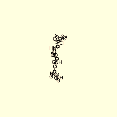 Cn1c(=O)n(C2CCC(=O)NC2=O)c2ccc(C3CCN(C(=O)Nc4cccc(CS(=O)(=O)N5CC[C@@H](Nc6cccc(-c7sc(C(=O)OC(C)(C)C)c(OCC(=O)OC(C)(C)C)c7Cl)c6)CC56CC6)c4)CC3)cc21